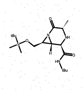 C[C@@H]1N[C@@H](C(=O)NC(C)(C)C)[C@@H]2[C@@H](CO[Si](C)(C)C(C)(C)C)N2C1=O